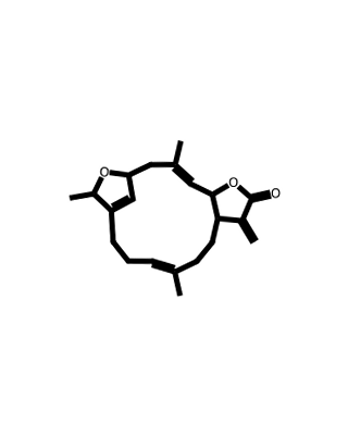 C=C1C(=O)OC2/C=C(\C)CC3C=C(CC/C=C(\C)CCC12)C(C)O3